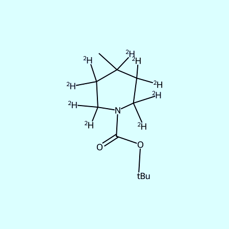 [2H]C1([2H])N(C(=O)OC(C)(C)C)C([2H])([2H])C([2H])([2H])C([2H])(C)C1([2H])[2H]